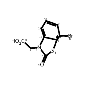 O=C(O)Cn1c(=O)sc2c(Br)cccc21